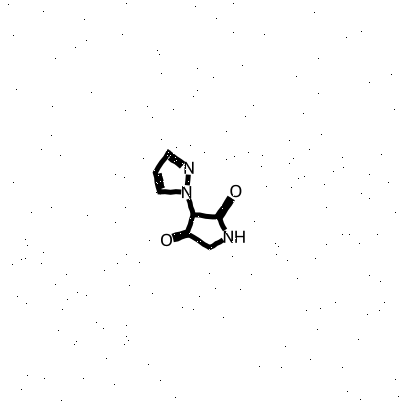 O=C1CNC(=O)C1n1cccn1